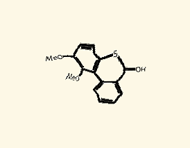 COc1ccc2c(c1OC)-c1ccccc1C(O)S2